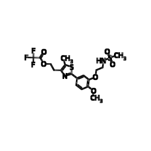 COc1ccc(-c2nc(CCOC(=O)C(F)(F)F)c(C)s2)cc1OCCNS(C)(=O)=O